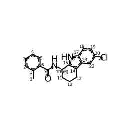 Cc1ccccc1C(=O)N[C@@H]1CCCc2c1[nH]c1ccc(Cl)cc21